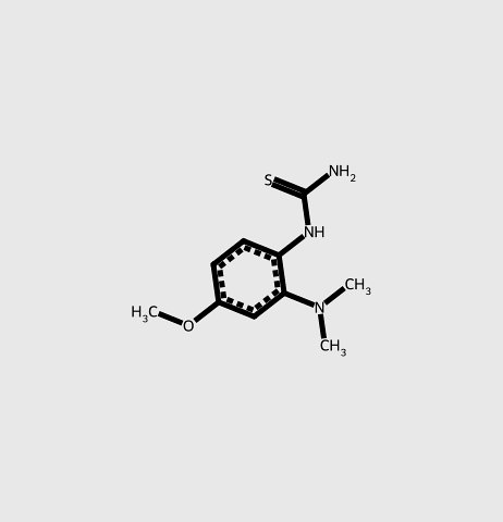 COc1ccc(NC(N)=S)c(N(C)C)c1